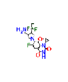 COC1c2c(c(=O)[nH]c(=O)n2C2CC2)C=C(F)C1N1CC(CN)C(C(F)(F)F)C1